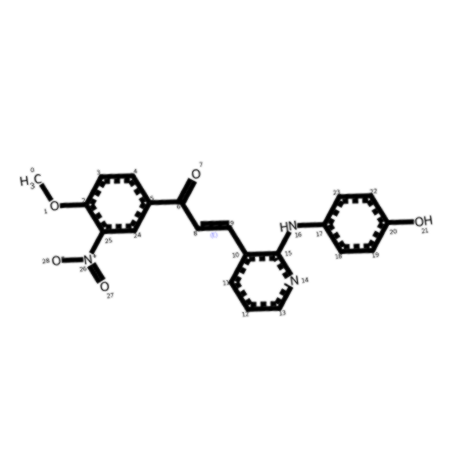 COc1ccc(C(=O)/C=C/c2cccnc2Nc2ccc(O)cc2)cc1[N+](=O)[O-]